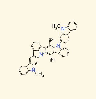 CC(C)c1c2c3cccc4c5cc6c7ccccc7n(C)c6cc5n(c2c(C(C)C)c2c5cccc6c7cc8c9ccccc9n(C)c8cc7n(c12)c65)c43